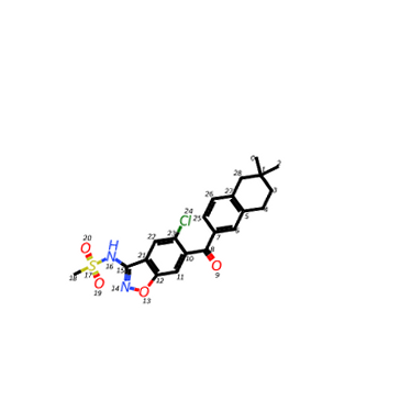 CC1(C)CCc2cc(C(=O)c3cc4onc(NS(C)(=O)=O)c4cc3Cl)ccc2C1